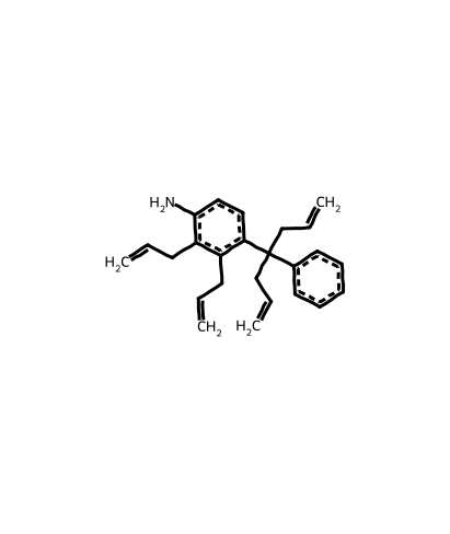 C=CCc1c(N)ccc(C(CC=C)(CC=C)c2ccccc2)c1CC=C